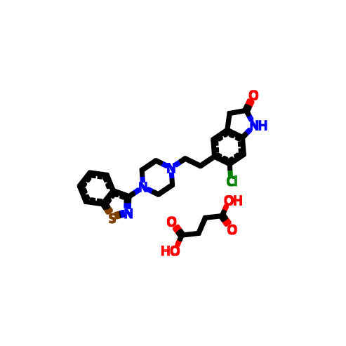 O=C(O)CCC(=O)O.O=C1Cc2cc(CCN3CCN(c4nsc5ccccc45)CC3)c(Cl)cc2N1